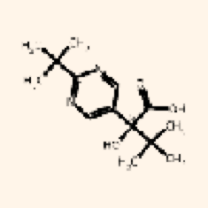 CC(C)(C)c1ncc([C@](O)(C(=O)O)C(C)(C)C)cn1